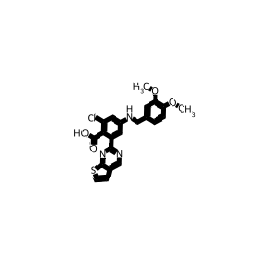 COc1ccc(CNc2cc(Cl)c(C(=O)O)c(-c3ncc4ccsc4n3)c2)cc1OC